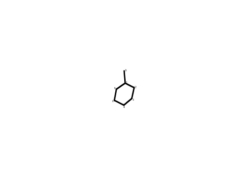 CC1[C]CCCC1